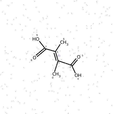 C/C(C(=O)O)=C(/C)C(=O)O